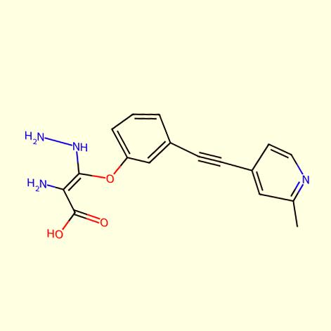 Cc1cc(C#Cc2cccc(O/C(NN)=C(/N)C(=O)O)c2)ccn1